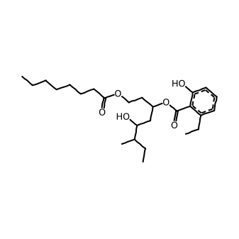 CCCCCCCC(=O)OCCC(CC(O)C(C)CC)OC(=O)c1c(O)cccc1CC